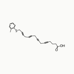 Cc1ccccc1SCC#CCC#CCC#CCC#CCCCC(=O)O